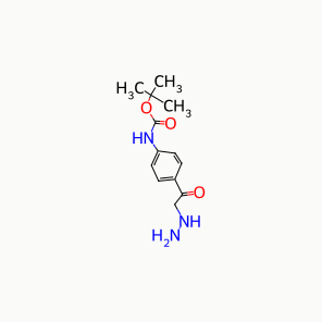 CC(C)(C)OC(=O)Nc1ccc(C(=O)CNN)cc1